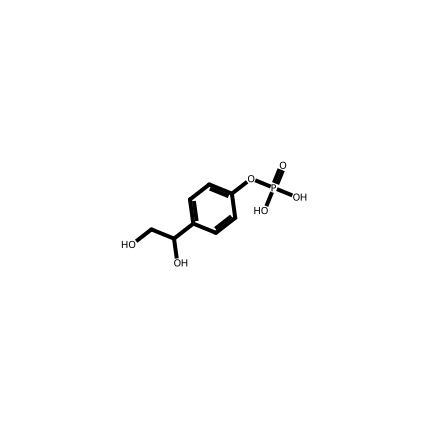 O=P(O)(O)Oc1ccc(C(O)CO)cc1